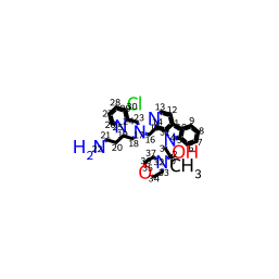 CC(O)(Cn1c2ccccc2c2ccnc(CN(CCCCN)Cc3ncccc3Cl)c21)N1CCOCC1